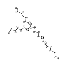 CCCCCCOCOC=CCCC(OCCCCCC)OCCCCCC